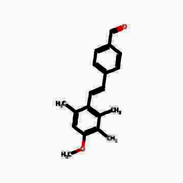 COc1cc(C)c(C=Cc2ccc(C=O)cc2)c(C)c1C